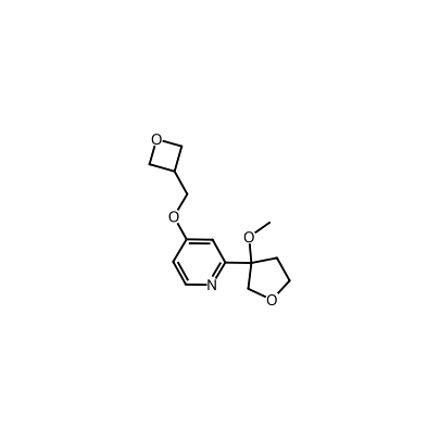 COC1(c2cc(OCC3COC3)ccn2)CCOC1